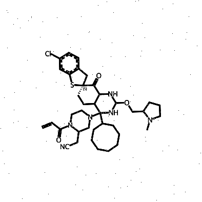 C=CC(=O)N1CCN(C2(C3CCCCCCC3)NC(OCC3CCCN3C)NC3C(=O)[C@]4(CCC32)Cc2ccc(Cl)cc2S4)CC1CC#N